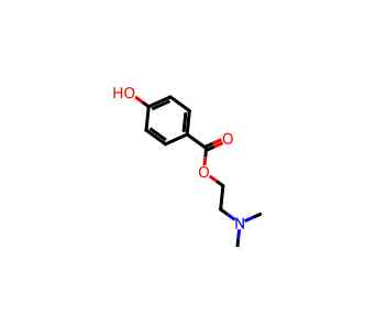 CN(C)CCOC(=O)c1ccc(O)cc1